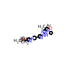 CC(=O)c1c(C)c2cnc(Nc3ccc(C4CCN(c5ccc(CO[Si](C)(C)C(C)(C)C)cn5)CC4)cn3)nc2n(C2CCCC2)c1=O